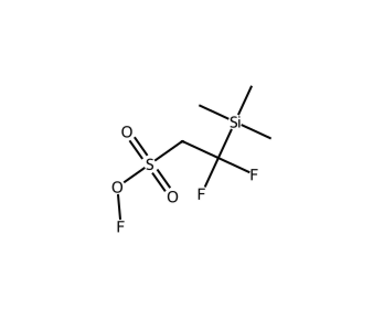 C[Si](C)(C)C(F)(F)CS(=O)(=O)OF